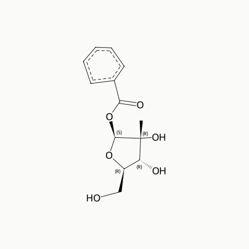 C[C@]1(O)[C@H](OC(=O)c2ccccc2)O[C@H](CO)[C@H]1O